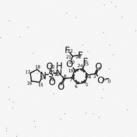 COC(=O)c1ccc(C(=O)NS(=O)(=O)N2CCCC2)c(OC(F)F)c1F